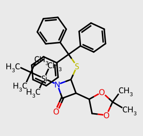 CC1(C)OCC(C2C(=O)N([Si](C)(C)C(C)(C)C)C2SC(c2ccccc2)(c2ccccc2)c2ccccc2)O1